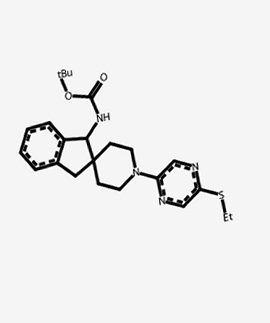 CCSc1cnc(N2CCC3(CC2)Cc2ccccc2C3NC(=O)OC(C)(C)C)cn1